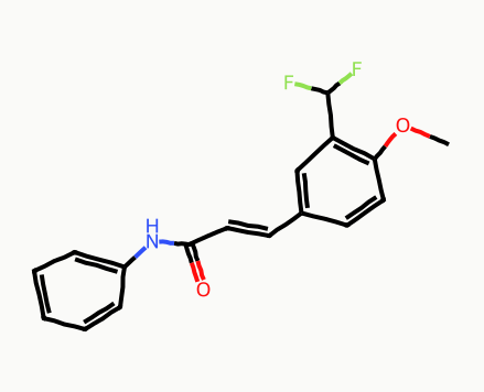 COc1ccc(C=CC(=O)Nc2ccccc2)cc1C(F)F